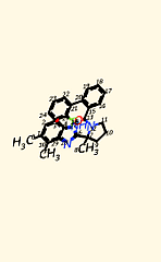 Cc1ccc2[nH]c(C3(C)CCCN3C(=O)c3ccccc3-c3ccccc3F)nc2c1C